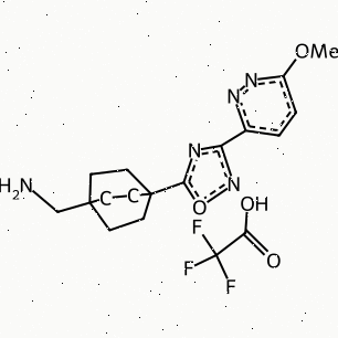 COc1ccc(-c2noc(C34CCC(CN)(CC3)CC4)n2)nn1.O=C(O)C(F)(F)F